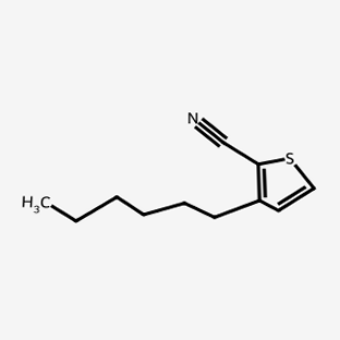 CCCCCCc1ccsc1C#N